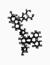 CCCCCCC1(CCCCCC)c2cc(C)ccc2-c2ccc(-c3ccc(-c4ccc(-c5ccc(C)s5)c5nc(-c6ccccc6)c(-c6ccccc6)nc45)s3)cc21